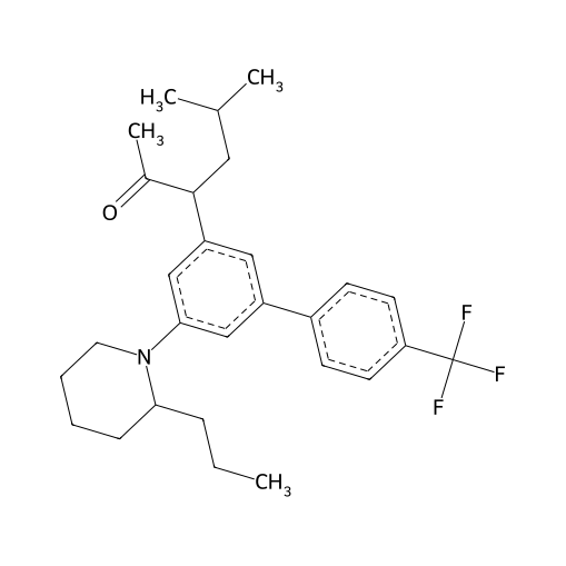 CCCC1CCCCN1c1cc(-c2ccc(C(F)(F)F)cc2)cc(C(CC(C)C)C(C)=O)c1